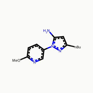 CCCCc1cc(N)n(-c2ccc(OC)nc2)n1